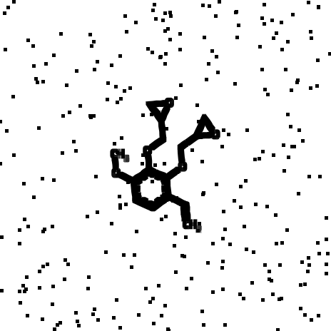 C=Cc1ccc(OC)c(OCC2CO2)c1OCC1CO1